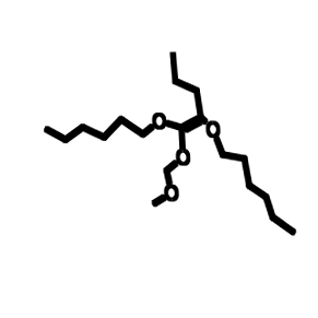 CCCCCCOC(CCC)=C(OCCCCCC)OCOC